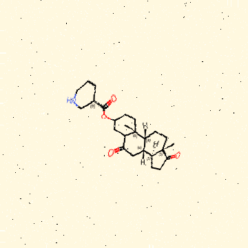 C[C@]12CCC(OC(=O)[C@@H]3CCCNC3)CC1C(=O)C[C@@H]1[C@H]2CC[C@]2(C)C(=O)CC[C@@H]12